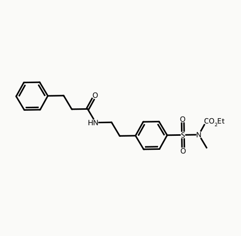 CCOC(=O)N(C)S(=O)(=O)c1ccc(CCNC(=O)CCc2ccccc2)cc1